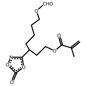 C=C(C)C(=O)OCCC(CCCCOC=O)c1noc(=O)o1